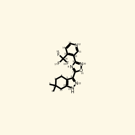 CC1(C)CCc2c(-c3nc(-c4cnccc4C(F)(F)F)no3)n[nH]c2C1